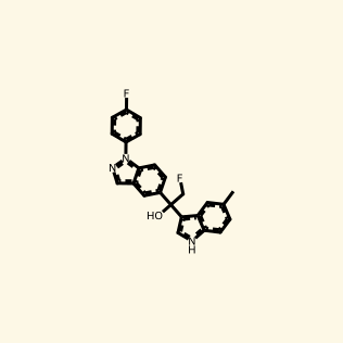 Cc1ccc2[nH]cc(C(O)(CF)c3ccc4c(cnn4-c4ccc(F)cc4)c3)c2c1